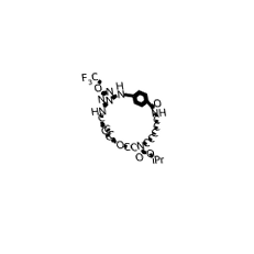 CC(C)OC(=O)N1CCCCCNC(=O)c2ccc(cc2)Nc2nc(nc(OCC(F)(F)F)n2)NCc2ccc(cc2)OCC1